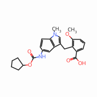 COc1cccc(C(=O)O)c1Cc1cn(C)c2ccc(NC(=O)OC3CCCC3)cc12